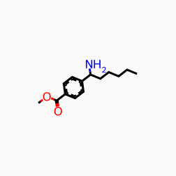 CCCCCC(N)c1ccc(C(=O)OC)cc1